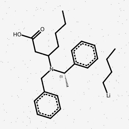 CCCCC(CC(=O)O)N(Cc1ccccc1)[C@@H](C)c1ccccc1.[Li][CH2]CCC